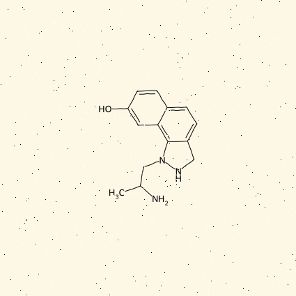 CC(N)CN1NCc2ccc3ccc(O)cc3c21